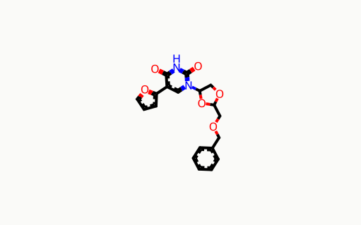 O=c1[nH]c(=O)n(C2COC(COCc3ccccc3)O2)cc1-c1ccco1